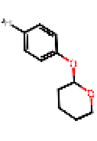 [2H]c1ccc(OC2CCCCO2)cc1